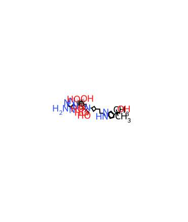 CC(C)(CO)c1ccc2[nH]c(CCC3CC(N(C[C@H]4O[C@@H](n5cnc6c(N)ncnc65)[C@H](O)[C@@H]4O)C(O)(CO)CO)C3)nc2c1